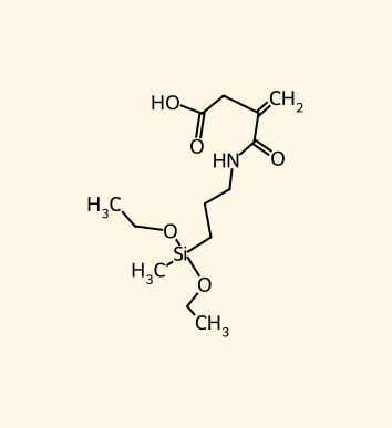 C=C(CC(=O)O)C(=O)NCCC[Si](C)(OCC)OCC